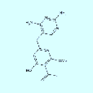 C=C(C)c1c(O)cc(Cc2cnc(N)nc2N)cc1OC